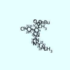 CCCCOOC(=O)Cc1c(C)cc2nc(-c3ccnc(C4=CCN(C)CC4)n3)sc2c1-c1ccc(Cl)cc1